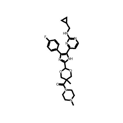 CN1CCN(C(=O)C2(C)COC(c3nc(-c4ccc(F)cc4)c(-c4ccnc(NCC5CC5)n4)[nH]3)OC2)CC1